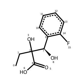 CCC(O)(C(=O)O)[C@H](O)c1ccccc1F